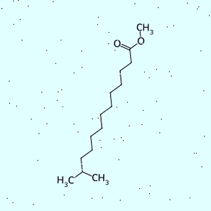 COC(=O)CCCCCCCCCCC(C)C